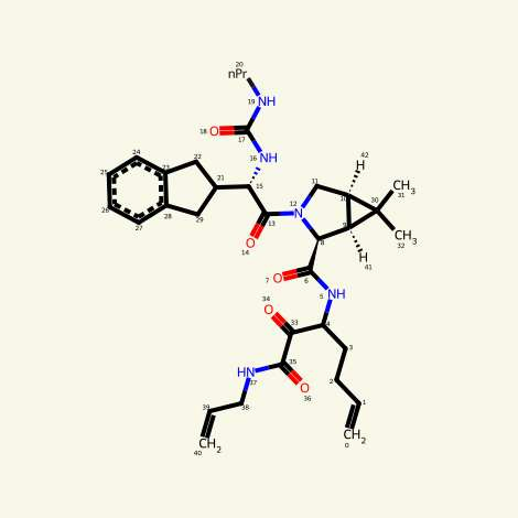 C=CCCC(NC(=O)[C@@H]1[C@H]2[C@@H](CN1C(=O)[C@@H](NC(=O)NCCC)C1Cc3ccccc3C1)C2(C)C)C(=O)C(=O)NCC=C